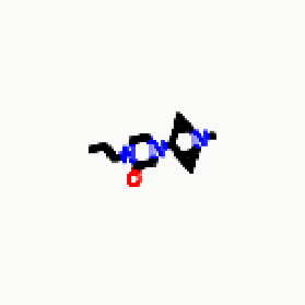 CCCN1CCN(C2C3CC3N(C)C3CC23)CC1=O